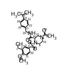 CCc1cc(S(=O)(=O)N2CCN(C(C)=O)C[C@@H]2C(=O)NCc2ccc(C(C)C)cc2)ccc1OC